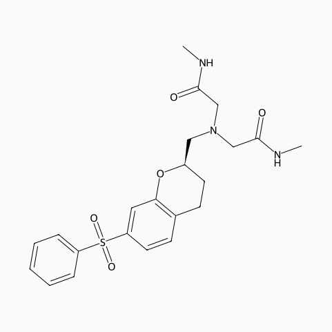 CNC(=O)CN(CC(=O)NC)C[C@H]1CCc2ccc(S(=O)(=O)c3ccccc3)cc2O1